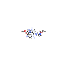 Cc1cc(N(C)C[C@H]2CCCN2C(=O)OC(C)(C)C)c(N)cc1Nc1ncc(C(=O)OC(C)C)c(-c2cn(C)c3ccccc23)n1